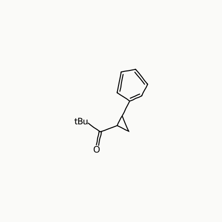 CC(C)(C)C(=O)C1CC1c1ccccc1